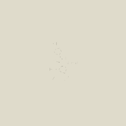 CCCCCc1cc2c(c(O)c1C(=O)Nc1ccc(C(F)(F)F)cc1)C1C=C(C)CCC1C(C)(C)O2